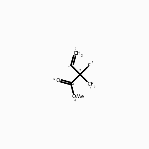 C=CC(F)(C(=O)OC)C(F)(F)F